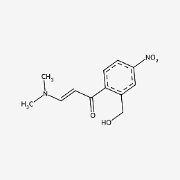 CN(C)/C=C/C(=O)c1ccc([N+](=O)[O-])cc1CO